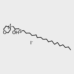 CCCCCCCCCCCCCCCCCCSCC(O)C[N+]1(C)CCOCC1.[I-]